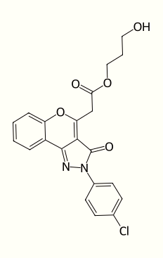 O=C(Cc1oc2ccccc2c2nn(-c3ccc(Cl)cc3)c(=O)c1-2)OCCCO